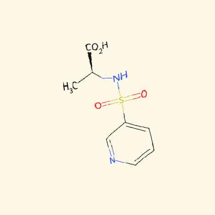 C[C@H](NS(=O)(=O)c1cccnc1)C(=O)O